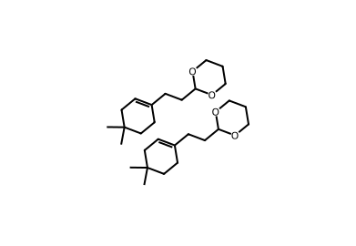 CC1(C)CC=C(CCC2OCCCO2)CC1.CC1(C)CC=C(CCC2OCCCO2)CC1